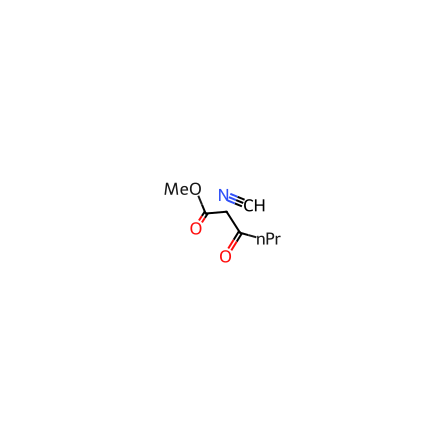 C#N.CCCC(=O)CC(=O)OC